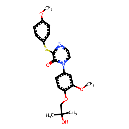 CC(C)(O)COc1ccc(-n2ccnc(Sc3ccc(OC(F)(F)F)cc3)c2=O)cc1OC(F)(F)F